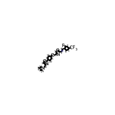 Fc1cc(C(F)(F)F)ccc1/C=C/c1nc(COc2ccc(-c3nc(Cn4ccnc4)co3)cc2)co1